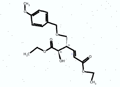 CCOC(=O)/C=C/[C@@H](COCc1ccc(OC)cc1)[C@@H](O)C(=O)OCC